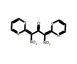 O=C(/C(=C1/N=CC=CS1)[N+](=O)[O-])/C(=C1/N=CC=CS1)[N+](=O)[O-]